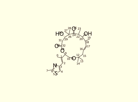 C/C(=C\c1csc(C)n1)C1COC(C)(C)C/C=C/C(C)C(O)C(C)C(=O)C(C)(C)[C@@H](O)CC(=O)O1